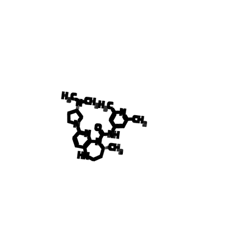 Cc1cc(NC(=O)N2c3nc(N4CC[C@H](N(C)C)C4)ccc3NCC[C@H]2C)cc(C)n1